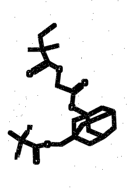 CCC(C)(C)C(=O)OCC(=O)OC12CC3CC(CC(COC(=O)C(C)(F)F)(C3)C1)C2